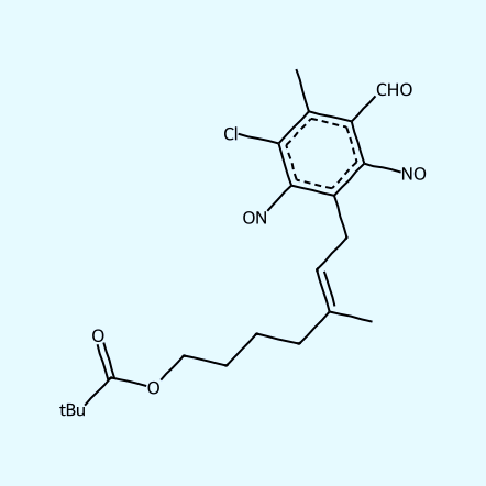 C/C(=C\Cc1c(N=O)c(Cl)c(C)c(C=O)c1N=O)CCCCOC(=O)C(C)(C)C